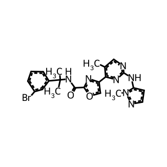 Cc1cnc(Nc2ccnn2C)nc1-c1coc(C(=O)NC(C)(C)c2cccc(Br)c2)n1